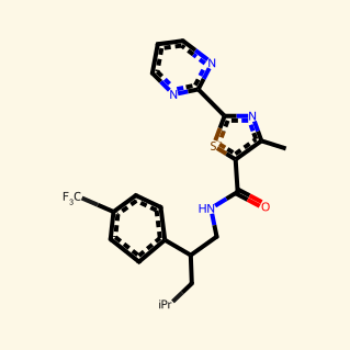 Cc1nc(-c2ncccn2)sc1C(=O)NCC(CC(C)C)c1ccc(C(F)(F)F)cc1